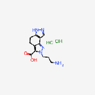 Cl.Cl.NCCCn1nc2c(c1C(=O)O)CCc1[nH]ncc1-2